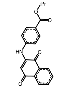 CC(C)OC(=O)c1ccc(NC2=CC(=O)c3ccccc3C2=O)cc1